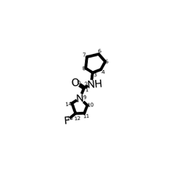 O=C(NC1CCCCC1)N1CCC(F)C1